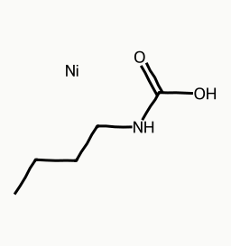 CCCCNC(=O)O.[Ni]